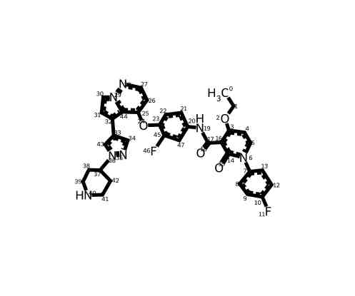 CCOc1ccn(-c2ccc(F)cc2)c(=O)c1C(=O)Nc1ccc(Oc2ccnn3ccc(-c4cnn(C5CCNCC5)c4)c23)c(F)c1